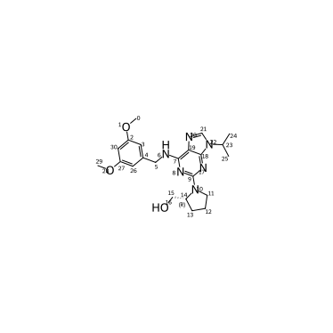 COc1cc(CNc2nc(N3CCC[C@@H]3CO)nc3c2ncn3C(C)C)cc(OC)c1